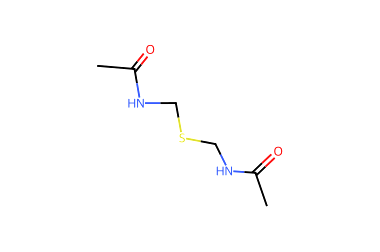 CC(=O)NCSCNC(C)=O